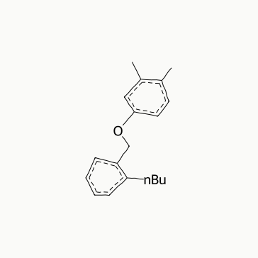 CCCCc1ccccc1COc1ccc(C)c(C)c1